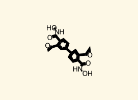 O=C(NO)c1ccc(-c2ccc(C(=O)NO)c(C3CO3)c2)cc1C1CO1